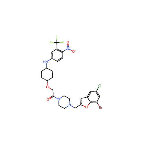 O=C(COC1CCC(Nc2ccc([N+](=O)[O-])c(C(F)(F)F)c2)CC1)N1CCN(Cc2cc3cc(Cl)cc(Br)c3o2)CC1